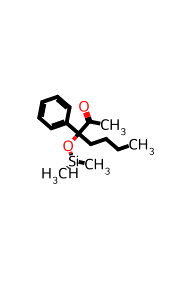 CCCCC(O[SiH](C)C)(C(C)=O)c1ccccc1